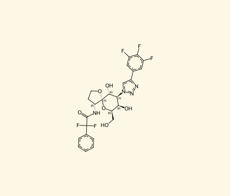 O=C(N[C@@H]1CCO[C@]12O[C@H](CO)[C@H](O)[C@H](n1cc(-c3cc(F)c(F)c(F)c3)nn1)[C@H]2O)C(F)(F)c1ccccc1